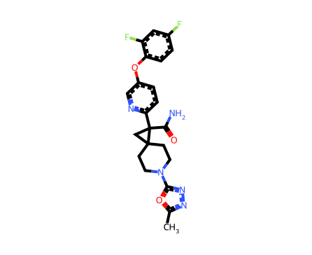 Cc1nnc(N2CCC3(CC2)CC3(C(N)=O)c2ccc(Oc3ccc(F)cc3F)cn2)o1